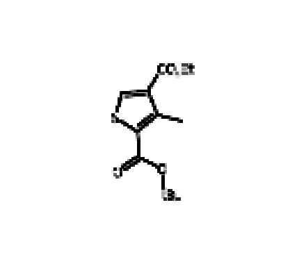 CCOC(=O)c1csc(C(=O)OC(C)(C)C)c1C